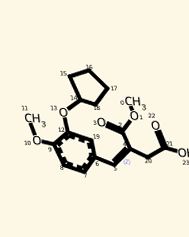 COC(=O)/C(=C\c1ccc(OC)c(OC2CCCC2)c1)CC(=O)O